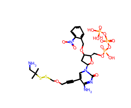 CC(C)(CN)SSCOCC#Cc1cn([C@H]2CC(OCc3ccccc3[N+](=O)[O-])[C@@H](COP(=O)(O)OP(=O)(O)OP(=O)(O)O)O2)c(=O)nc1N